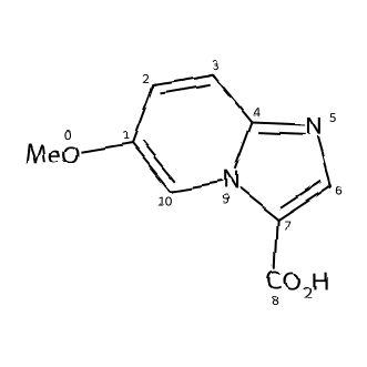 COc1ccc2ncc(C(=O)O)n2c1